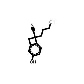 N#CC1(CCCO)Cc2cc(O)ccc21